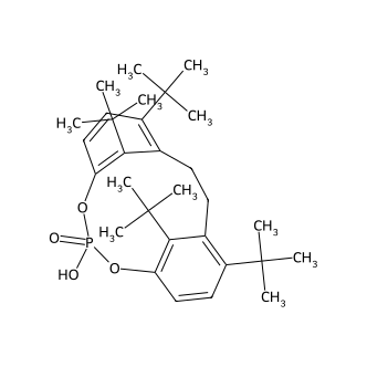 CC(C)(C)c1ccc2c(C(C)(C)C)c1CCc1c(C(C)(C)C)ccc(c1C(C)(C)C)OP(=O)(O)O2